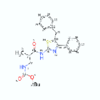 CC(CNC(=O)OC(C)(C)C)C(=O)Nc1nc(-c2ccccc2)c(Cc2ccccc2)s1